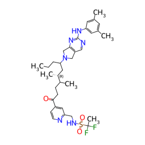 CCCC(C[C@@H](C)C(C)CCC(=O)c1ccnc(CNS(=O)(=O)C(C)(F)F)c1)N1Cc2cnc(Nc3cc(C)cc(C)c3)nc2C1